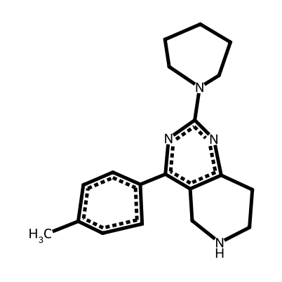 Cc1ccc(-c2nc(N3CCCCC3)nc3c2CNCC3)cc1